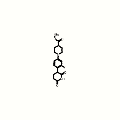 CC(C)(C)OC(=O)C1CCN(c2ccc(C3CCC(=O)NC3=O)c(F)c2)CC1